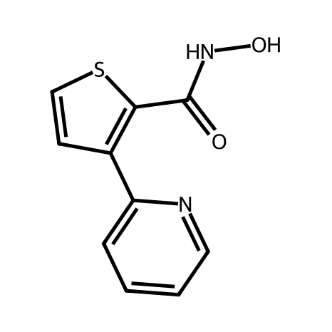 O=C(NO)c1sccc1-c1ccccn1